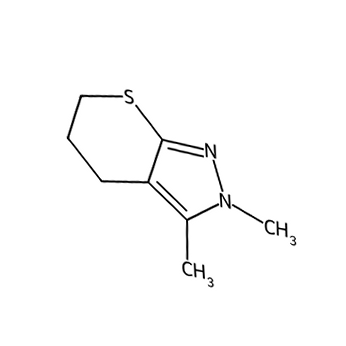 Cc1c2c(nn1C)SCCC2